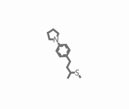 CSC(C)CCc1ccc(N2CCCC2)cc1